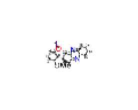 COc1cccc(OI)c1-c1ccc2nc3ccccc3nc2c1